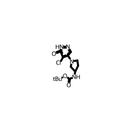 CC(C)(C)OC(=O)NC1CCN(c2cn[nH]c(=O)c2Cl)C1